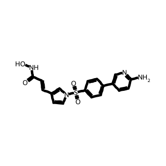 Nc1ccc(-c2ccc(S(=O)(=O)n3ccc(C=CC(=O)NO)c3)cc2)cn1